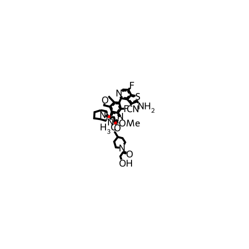 CO[C@H](C)CN1CC2CCC(C1)N2c1nc(OCC2CCN(C(=O)CO)CC2)nc2c(F)c(-c3ncc(F)c4sc(N)c(C#N)c34)c3c(c12)COC3